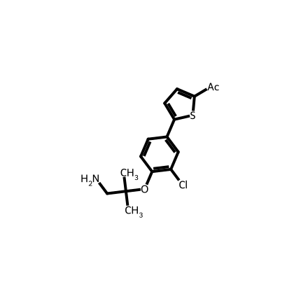 CC(=O)c1ccc(-c2ccc(OC(C)(C)CN)c(Cl)c2)s1